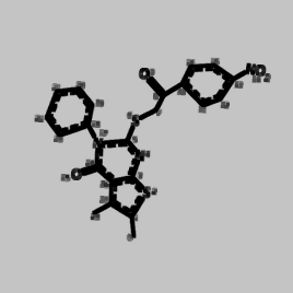 Cc1sc2nc(SCC(=O)c3ccc([N+](=O)[O-])cc3)n(-c3ccccc3)c(=O)c2c1C